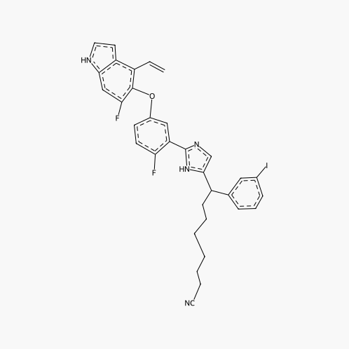 C=Cc1c(Oc2ccc(F)c(-c3ncc(C(CCCCCCC#N)c4cccc(I)c4)[nH]3)c2)c(F)cc2[nH]ccc12